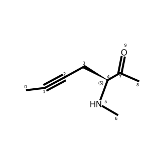 CC#CC[C@H](NC)C(C)=O